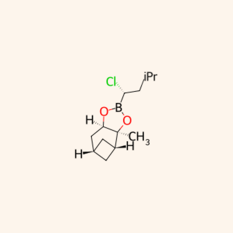 CC(C)C[C@@H](Cl)B1O[C@@H]2C[C@H]3C[C@H](C3)[C@]2(C)O1